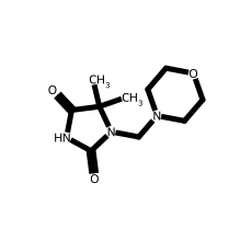 CC1(C)C(=O)NC(=O)N1CN1CCOCC1